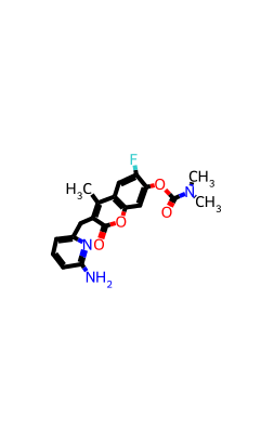 Cc1c(Cc2cccc(N)n2)c(=O)oc2cc(OC(=O)N(C)C)c(F)cc12